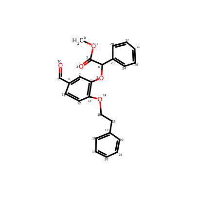 COC(=O)C(Oc1cc(C=O)ccc1OCCc1ccccc1)c1ccccc1